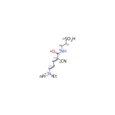 CCCN(/C=C/C=C(\C#N)C(=O)NCCS(=O)(=O)O)CC